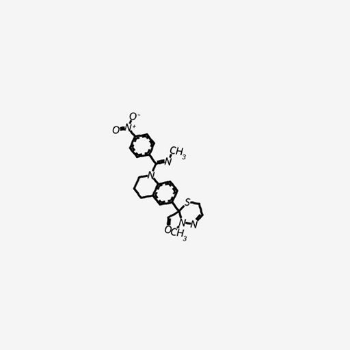 CN=C(c1ccc([N+](=O)[O-])cc1)N1CCCc2cc(C3(C=O)SCC=NN3C)ccc21